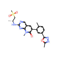 Cc1nnc(-c2ccc(C)c(-c3cc4cnc(N[C@H](C)CS(C)(=O)=O)nc4n(C)c3=O)c2)o1